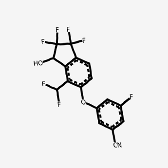 N#Cc1cc(F)cc(Oc2ccc3c(c2C(F)F)C(O)C(F)(F)C3(F)F)c1